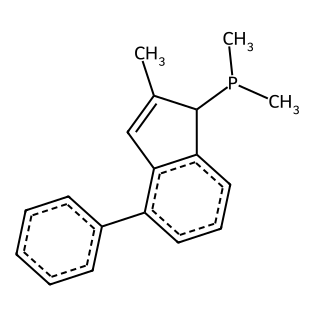 CC1=Cc2c(-c3ccccc3)cccc2C1P(C)C